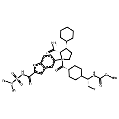 CC(C)N(C(C)C)S(=O)(=O)NC(=O)c1cc2cc([N+]3(C(=O)[C@H]4CC[C@H]([C@@H](CF)NC(=O)OC(C)(C)C)CC4)CC[C@@H](C4CCCCC4)[C@H]3C(N)=O)ccc2o1